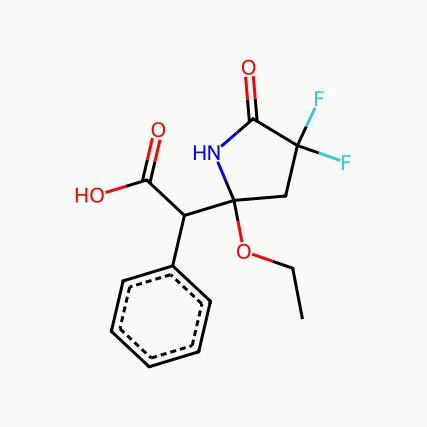 CCOC1(C(C(=O)O)c2ccccc2)CC(F)(F)C(=O)N1